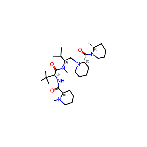 CC(C)[C@@H](CN1CCCC[C@H]1C(=O)N1CCCC[C@H]1C)N(C)C(=O)[C@@H](NC(=O)[C@H]1CCCCN1C)C(C)(C)C